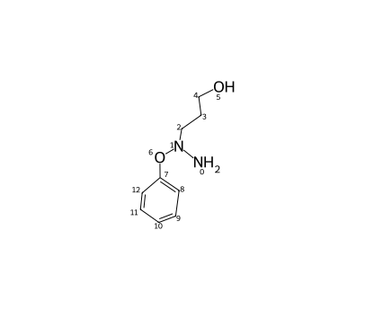 NN(CCCO)Oc1ccccc1